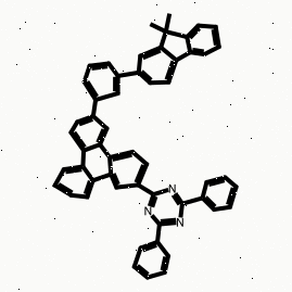 CC1(C)c2ccccc2-c2ccc(-c3cccc(-c4ccc5c6ccccc6c6cc(-c7nc(-c8ccccc8)nc(-c8ccccc8)n7)ccc6c5c4)c3)cc21